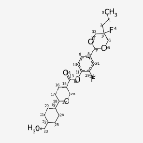 CCCC1(F)COC(c2ccc(OC(=O)C3CCC(C4CCC(CC)CC4)OC3)c(F)c2)OC1